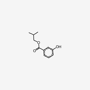 CC(C)COC(=O)c1[c]c(O)ccc1